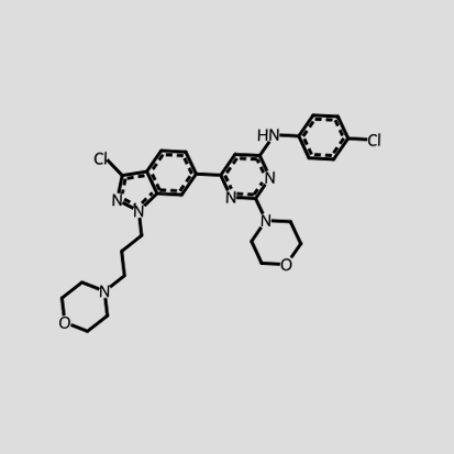 Clc1ccc(Nc2cc(-c3ccc4c(Cl)nn(CCCN5CCOCC5)c4c3)nc(N3CCOCC3)n2)cc1